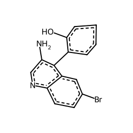 Nc1cnc2ccc(Br)cc2c1-c1ccccc1O